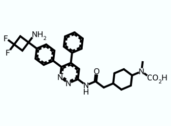 CN(C(=O)O)C1CCC(CC(=O)Nc2cc(-c3ccccc3)c(-c3ccc(C4(N)CC(F)(F)C4)cc3)nn2)CC1